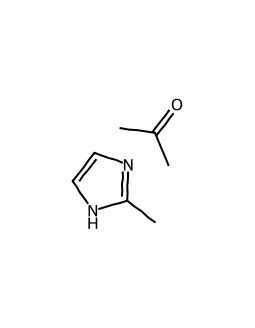 CC(C)=O.Cc1ncc[nH]1